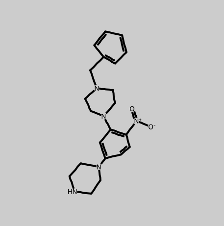 O=[N+]([O-])c1ccc(N2CCNCC2)cc1N1CCN(Cc2ccccc2)CC1